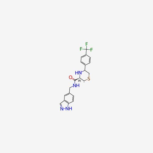 O=C(NCc1ccc2[nH]ncc2c1)[C@@H]1[CH]SCC(c2ccc(C(F)(F)F)cc2)N1